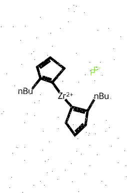 CCCCC1=[C]([Zr+2][C]2=C(CCCC)C=CC2)CC=C1.[F-].[F-]